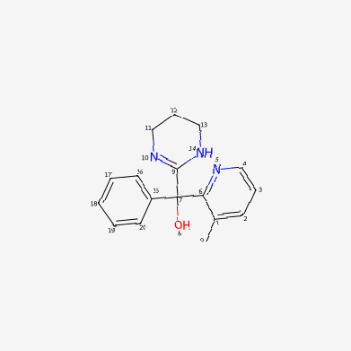 Cc1cccnc1C(O)(C1=NCCCN1)c1ccccc1